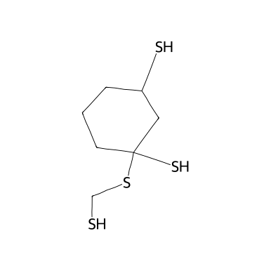 SCSC1(S)CCCC(S)C1